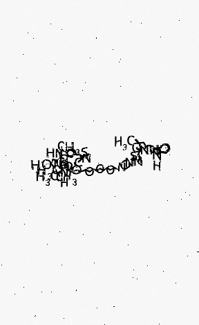 CCCCC(Cc1c[nH]c2ccccc12)NC(=O)c1cnc(N2CCN(CCOCCOCCOCCOCC(=O)N[C@H](C(=O)N3C[C@H](O)C[C@H]3C(=O)N[C@@H](C)c3ccc(-c4scnc4C)cc3)C(C)(C)C)CC2)s1